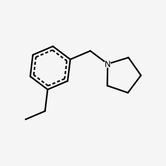 CCc1cccc(CN2CCCC2)c1